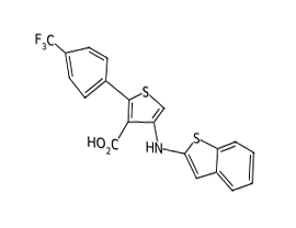 O=C(O)c1c(Nc2cc3ccccc3s2)csc1-c1ccc(C(F)(F)F)cc1